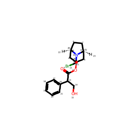 O=C(O[C@H]1C[C@H]2CC[C@@H](C1)N2CBr)C(CO)c1ccccc1